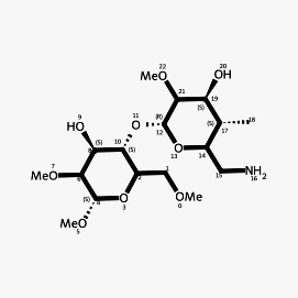 COCC1O[C@H](OC)C(OC)[C@@H](O)[C@@H]1O[C@H]1OC(CN)[C@@H](C)[C@H](O)C1OC